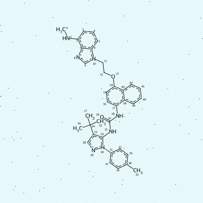 CNc1cccc2c1ncn2CCOc1ccc(NC(=O)Nc2c(C(C)(C)C)cnn2-c2ccc(C)cc2)c2ccccc12